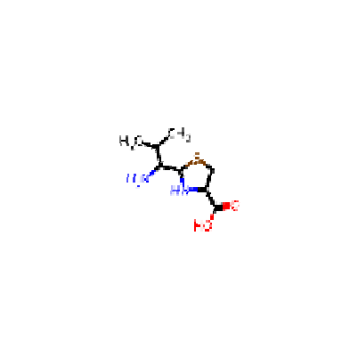 CC(C)C(N)C1NC(C(=O)O)CS1